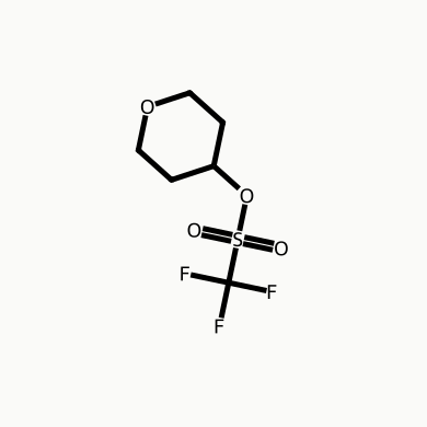 O=S(=O)(OC1CCOCC1)C(F)(F)F